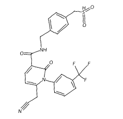 N#CCc1ccc(C(=O)NCc2ccc(C[SH](=O)=O)cc2)c(=O)n1-c1cccc(C(F)(F)F)c1